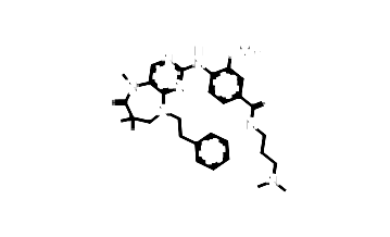 COc1cc(C(=O)NCCCN(C)C)ccc1Nc1ncc2c(n1)N(CCc1ccccc1)CC(F)(F)C(=O)N2C